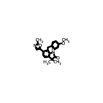 COc1ccc(Cc2c(-c3cnc(C)o3)ccc3c2NC(=O)C3(C)C)cc1